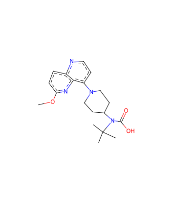 COc1ccc2nccc(N3CCC(N(C(=O)O)C(C)(C)C)CC3)c2n1